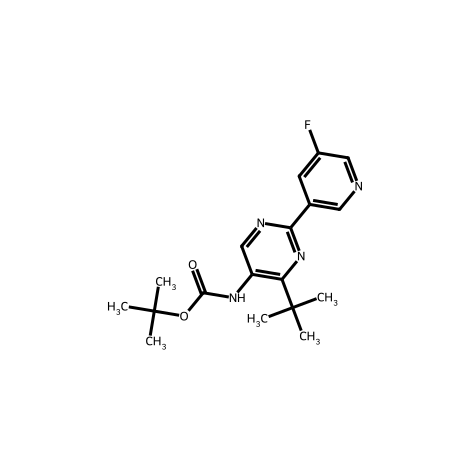 CC(C)(C)OC(=O)Nc1cnc(-c2cncc(F)c2)nc1C(C)(C)C